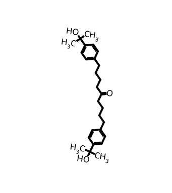 CC(C)(O)c1ccc(CCCCC(=O)CCCCc2ccc(C(C)(C)O)cc2)cc1